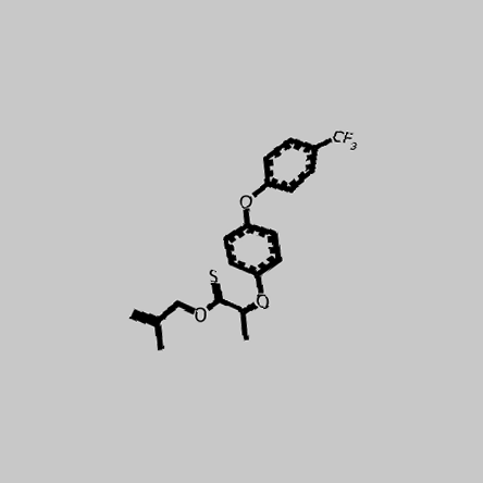 C=C(C)COC(=S)C(C)Oc1ccc(Oc2ccc(C(F)(F)F)cc2)cc1